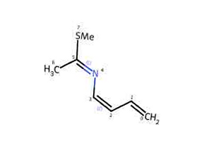 C=C/C=C\N=C(/C)SC